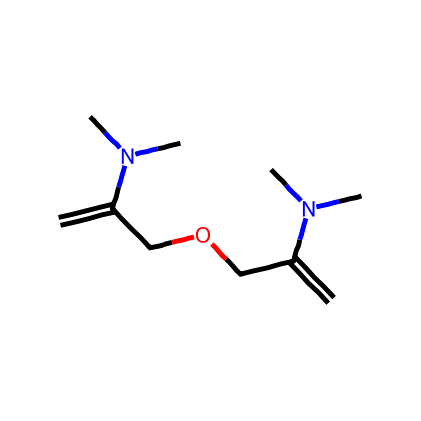 C=C(COCC(=C)N(C)C)N(C)C